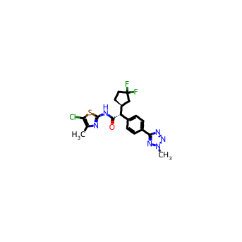 Cc1nc(NC(=O)[C@@H](c2ccc(-c3nnn(C)n3)cc2)[C@H]2CCC(F)(F)C2)sc1Cl